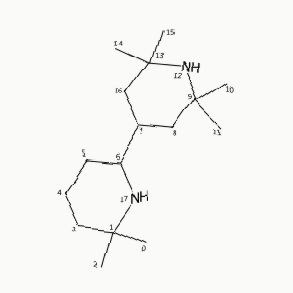 CC1(C)CCCC(C2CC(C)(C)NC(C)(C)C2)N1